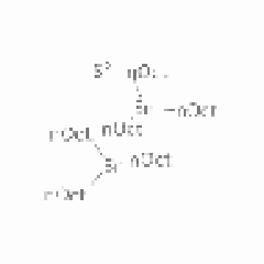 CCCCCCC[CH2][Sn+]([CH2]CCCCCCC)[CH2]CCCCCCC.CCCCCCC[CH2][Sn+]([CH2]CCCCCCC)[CH2]CCCCCCC.[S-2]